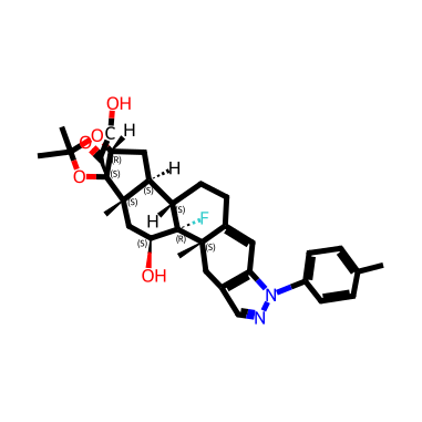 Cc1ccc(-n2ncc3c2C=C2CC[C@H]4[C@@H]5C[C@H]6OC(C)(C)O[C@@]6(C(=O)CO)[C@@]5(C)C[C@H](O)[C@]4(F)[C@@]2(C)C3)cc1